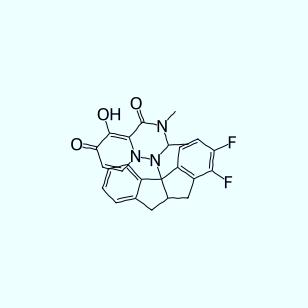 CC1N(C)C(=O)c2c(O)c(=O)ccn2N1C12c3ccccc3CC1Cc1c2ccc(F)c1F